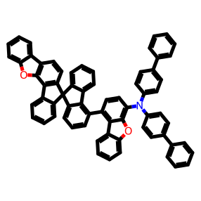 c1ccc(-c2ccc(N(c3ccc(-c4ccccc4)cc3)c3ccc(-c4cccc5c4-c4ccccc4C54c5ccccc5-c5c4ccc4c5oc5ccccc54)c4c3oc3ccccc34)cc2)cc1